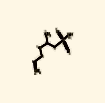 C=CCOC(C)CS(=O)(=O)O